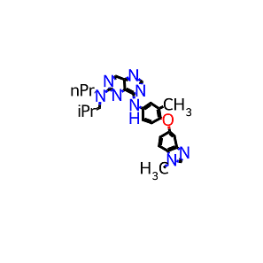 CCCN(CC(C)C)c1ncc2ncnc(Nc3ccc(Oc4ccc5c(c4)ncn5C)c(C)c3)c2n1